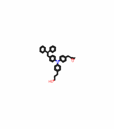 OCCCc1ccc(N(c2ccc(C=C(c3ccccc3)c3ccccc3)cc2)c2ccc(CC3CO3)cc2)cc1